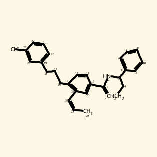 C=C(NC(CC)c1ccccc1)c1ccc(CCCc2cccc(Cl)c2)c(/C=C\C)c1